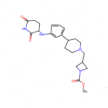 CC(C)(C)OC(=O)N1CC(CN2CCC(c3cccc(NC4CCC(=O)NC4=O)c3)CC2)C1